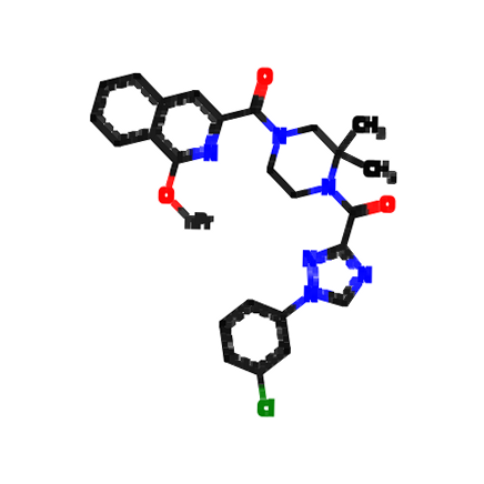 CCCOc1nc(C(=O)N2CCN(C(=O)c3ncn(-c4cccc(Cl)c4)n3)C(C)(C)C2)cc2ccccc12